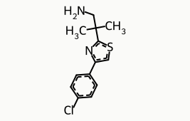 CC(C)(CN)c1nc(-c2ccc(Cl)cc2)cs1